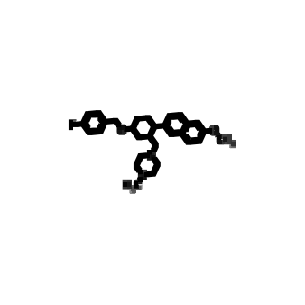 COc1ccc2cc(C3CCC(OCc4ccc(F)cc4)CC3CN3CCN(C)CC3)ccc2c1